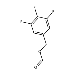 O=[C]OCc1cc(F)c(F)c(F)c1